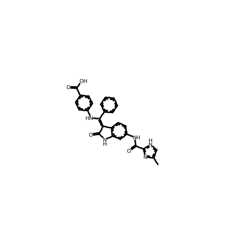 Cc1c[nH]c(C(=O)Nc2ccc3c(c2)NC(=O)/C3=C(\Nc2ccc(C(=O)O)cc2)c2ccccc2)n1